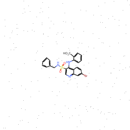 O=C(O)c1ccccc1Nc1c(S(=O)(=O)NCc2ccccc2)cnc2cc(Br)ccc12